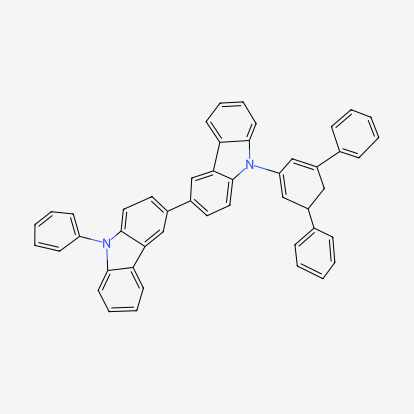 C1=C(c2ccccc2)CC(c2ccccc2)C=C1n1c2ccccc2c2cc(-c3ccc4c(c3)c3ccccc3n4-c3ccccc3)ccc21